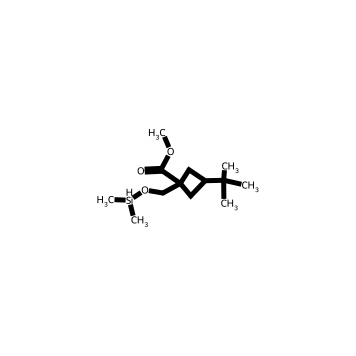 COC(=O)C1(CO[SiH](C)C)CC(C(C)(C)C)C1